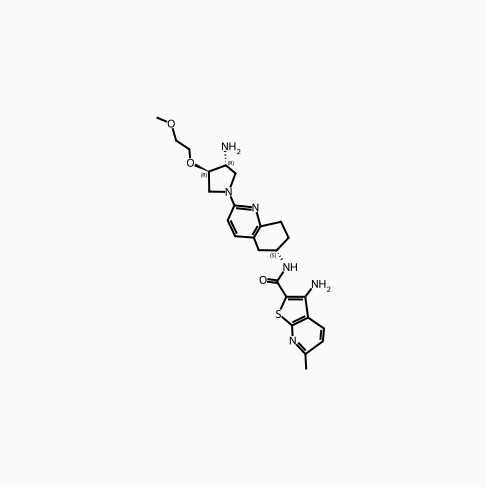 COCCO[C@@H]1CN(c2ccc3c(n2)CC[C@H](NC(=O)c2sc4nc(C)ccc4c2N)C3)C[C@H]1N